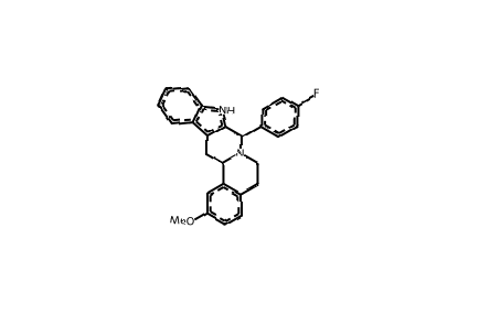 COc1ccc2c(c1)C1Cc3c([nH]c4ccccc34)C(c3ccc(F)cc3)N1CC2